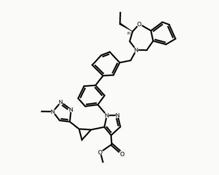 CC[C@@H]1CN(Cc2cccc(-c3cccc(-n4ncc(C(=O)OC)c4C4CC4c4cn(C)nn4)c3)c2)Cc2ccccc2O1